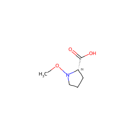 CON1CCC[C@H]1C(=O)O